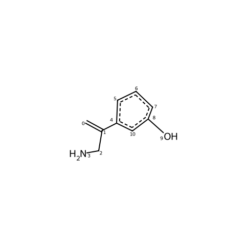 C=C(CN)c1cccc(O)c1